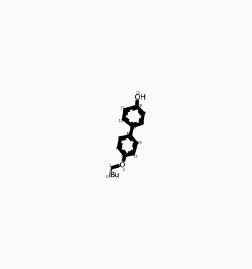 CC[C@H](C)COc1ccc(-c2ccc(O)cc2)cc1